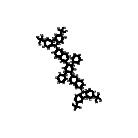 CC(C)(C)c1ccc2c(c1)c1cc(C(C)(C)C)ccc1n2-c1ccc2cc(-c3cc(-c4ccccc4)c(-c4ccc5cc(-n6c7ccc(C(C)(C)C)cc7c7cc(C(C)(C)C)ccc76)ccc5c4)cc3-c3ccccc3)ccc2c1